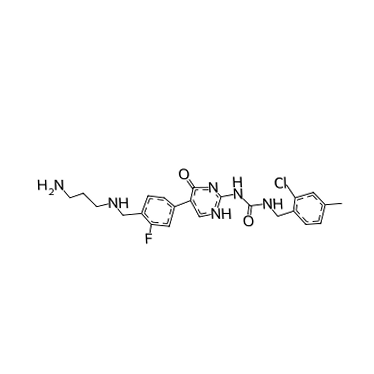 Cc1ccc(CNC(=O)Nc2nc(=O)c(-c3ccc(CNCCCN)c(F)c3)c[nH]2)c(Cl)c1